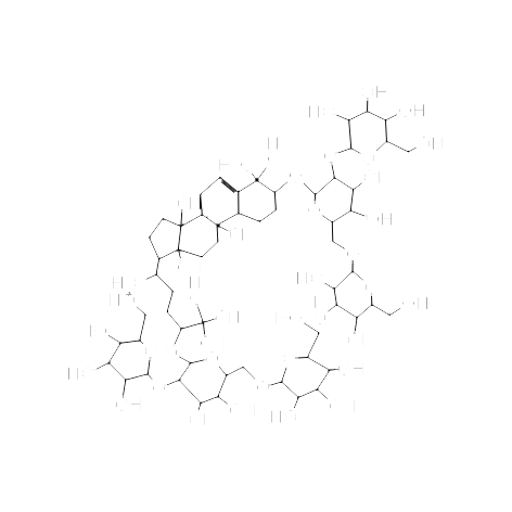 CC(CCC(OC1OC(COC2OC(CO)C(O)C(O)C2O)C(O)C(O)C1OC1OC(CO)C(O)C(O)C1O)C(C)(C)C)C1CCC2(C)C3CC=C4C(CCC(OC5OC(COC6OC(CO)C(O)C(O)C6O)C(O)C(O)C5OC5OC(CO)C(O)C(O)C5O)C4(C)C)C3(C)CCC12C